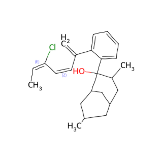 C=C(/C=C\C(Cl)=C/C)c1ccccc1C1(O)C(C)CC2CC(C)CC1C2